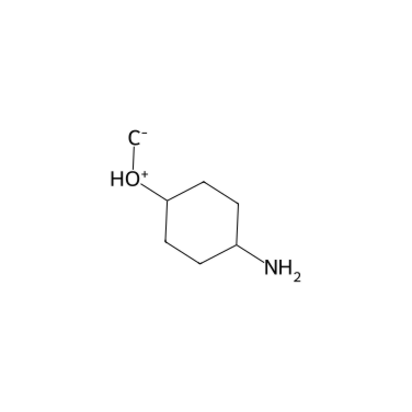 [CH2-][OH+]C1CCC(N)CC1